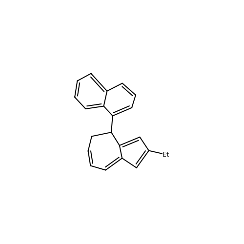 CCC1=CC2=CC=CCC(c3cccc4ccccc34)C2=C1